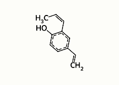 C=Cc1ccc(O)c(/C=C\C)c1